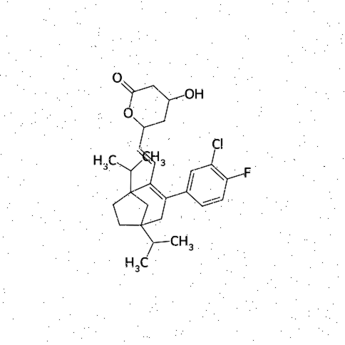 CC(C)C12CCC(C(C)C)(C1)C(C=CC1CC(O)CC(=O)O1)=C(c1ccc(F)c(Cl)c1)C2